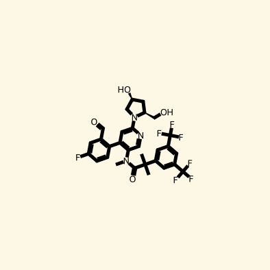 CN(C(=O)C(C)(C)c1cc(C(F)(F)F)cc(C(F)(F)F)c1)c1cnc(N2C[C@@H](O)C[C@H]2CO)cc1-c1ccc(F)cc1C=O